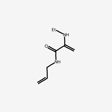 C=CCNC(=O)C(=C)NCC